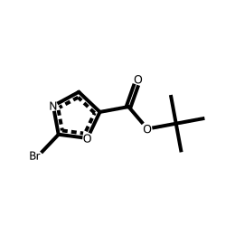 CC(C)(C)OC(=O)c1cnc(Br)o1